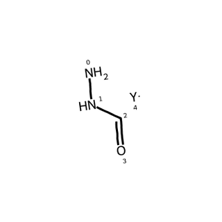 NNC=O.[Y]